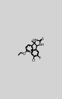 CCOc1ccc(C2(C)NC(=S)NC2c2ccc(Cl)c(F)c2)cn1